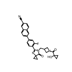 N#Cc1ccc2cc(-c3ccc(C4=NC5(CC5)C(=O)N4CC4CN(C(=O)C5(O)CC5)C4)c(F)c3)ccc2c1